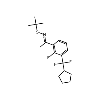 C/C(=N\SC(C)(C)C)c1cccc(C(F)(F)C2CCCC2)c1F